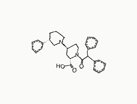 O=C(O)[C@@H]1C[C@@H](N2CCC[C@@H](c3ccccc3)C2)CCN1C(=O)C(c1ccccc1)c1ccccc1